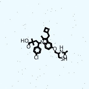 CC(=O)NC(CS)COc1ccc2c(c1)c(CC1CCC1)c(C)n2C(CC(C)(C)C(=O)O)c1ccc(Cl)cc1